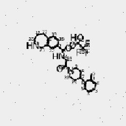 Cc1ccccc1C1CCN(C(=O)CNC(=O)c2ccc3c(c2)CNCCC3)CC1.O=C(O)C(F)(F)F